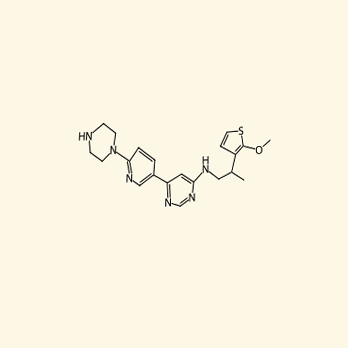 COc1sccc1C(C)CNc1cc(-c2ccc(N3CCNCC3)nc2)ncn1